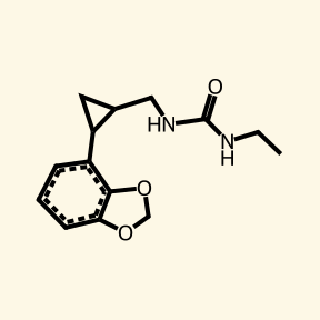 CCNC(=O)NCC1CC1c1cccc2c1OCO2